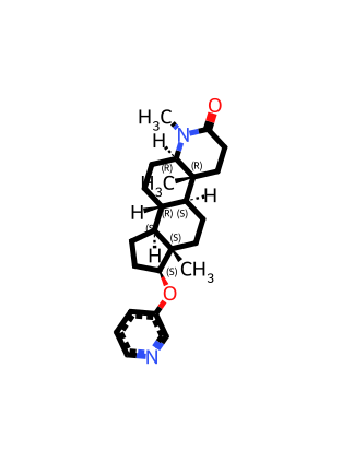 CN1C(=O)CC[C@]2(C)[C@H]3CC[C@]4(C)[C@@H](Oc5cccnc5)CC[C@H]4[C@@H]3CC[C@@H]12